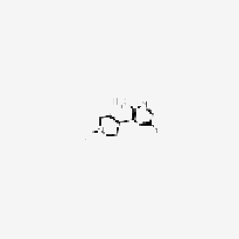 Cc1ncc(Cl)cc1C1=CCN(C)CC1